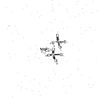 O=S(=O)([O-])[O-].O=S(=O)([O-])[O-].[Ca+2].[Mn+2]